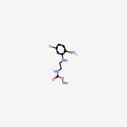 CC(C)(C)OC(=O)NCCNc1cc(F)ccc1[N+](=O)[O-]